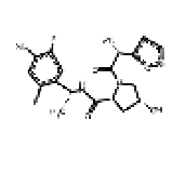 CC(C)[C@@H](C(=O)N1C[C@H](O)C[C@H]1C(=O)N[C@H](C)c1cc(F)c(C#N)cc1F)c1ccno1